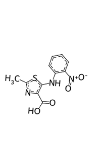 Cc1nc(C(=O)O)c(Nc2ccccc2[N+](=O)[O-])s1